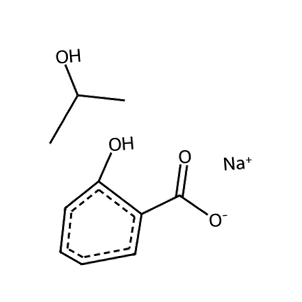 CC(C)O.O=C([O-])c1ccccc1O.[Na+]